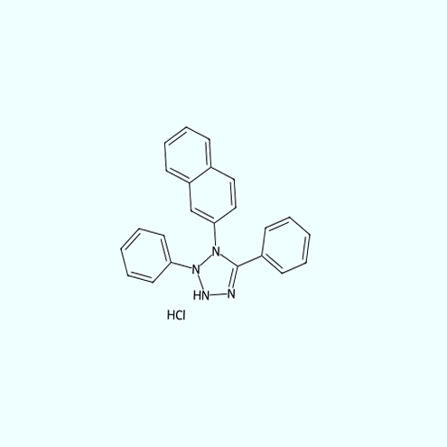 Cl.c1ccc(C2=NNN(c3ccccc3)N2c2ccc3ccccc3c2)cc1